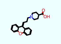 O=C(O)C1CCN(CCC=C2c3ccccc3Oc3ccccc32)CC1